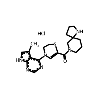 Cc1c[nH]c2ncnc(N3C=C(C(=O)N4CCCC5(CCCN5)C4)SCC3)c12.Cl